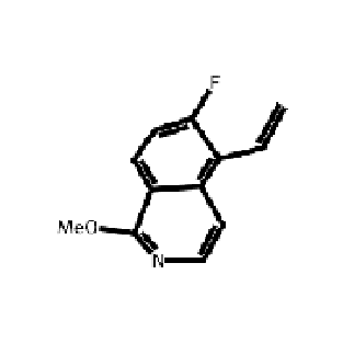 C=Cc1c(F)ccc2c(OC)nccc12